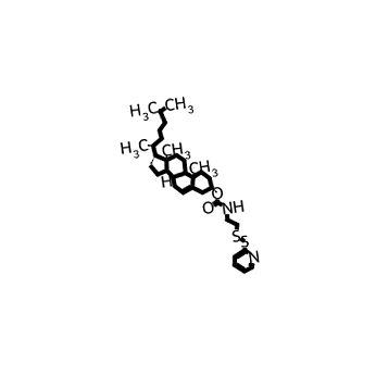 CC(C)CCC[C@@H](C)[C@H]1CCC2[C@@H]3CC=C4C[C@@H](OC(=O)NCCSSc5ccccn5)CC[C@]4(C)C3CC[C@@]21C